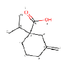 C=C1CCCC(C(=O)O)(C(C)C)C1